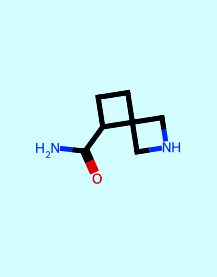 NC(=O)C1CCC12CNC2